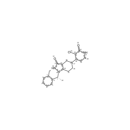 Cc1ccccc1[C@@H](C)n1[nH]c(=O)c2c1CCN(c1cn[nH]c(=O)c1Cl)C2